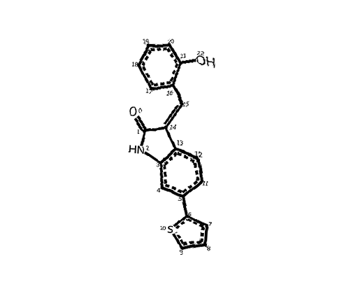 O=C1Nc2cc(-c3cccs3)ccc2C1=Cc1ccccc1O